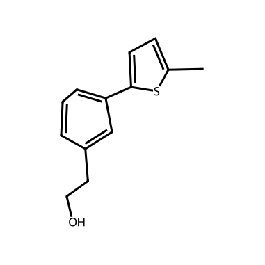 Cc1ccc(-c2cccc(CCO)c2)s1